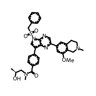 COc1cc(-c2cnc3c(n2)c(-c2ccc(C(=O)N(C)C[C@H](C)O)cc2)cn3S(=O)(=O)Cc2ccccc2)cc2c1CN(C)CC2